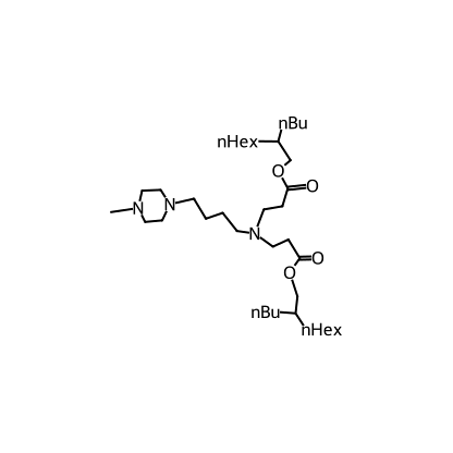 CCCCCCC(CCCC)COC(=O)CCN(CCCCN1CCN(C)CC1)CCC(=O)OCC(CCCC)CCCCCC